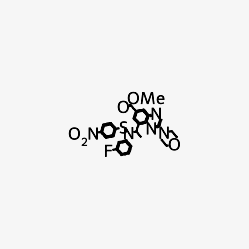 COC(=O)c1cc(C(C)N(Sc2ccc([N+](=O)[O-])cc2)c2cccc(F)c2)c2nc(N3CCOCC3)cnc2c1